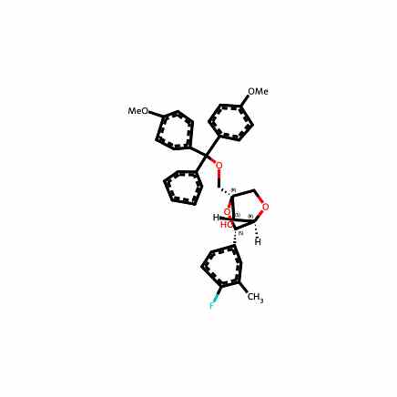 COc1ccc(C(OC[C@@]23CO[C@@H]([C@H](c4ccc(F)c(C)c4)O2)[C@@H]3O)(c2ccccc2)c2ccc(OC)cc2)cc1